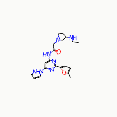 CCNC1CCN(CC(=O)Nc2cc(-n3cccn3)nc(-c3ccc(C)o3)n2)C1